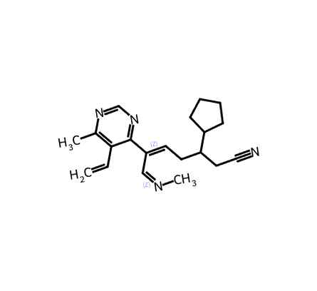 C=Cc1c(C)ncnc1C(/C=N\C)=C/CC(CC#N)C1CCCC1